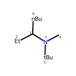 CCCCC(CC)N(C)C(C)(C)C